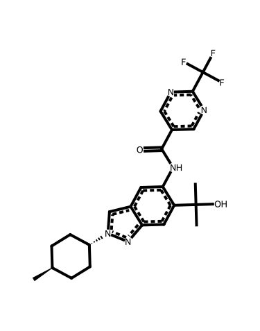 CC(C)(O)c1cc2nn([C@H]3CC[C@H](C)CC3)cc2cc1NC(=O)c1cnc(C(F)(F)F)nc1